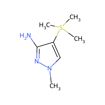 Cn1cc(S(C)(C)C)c(N)n1